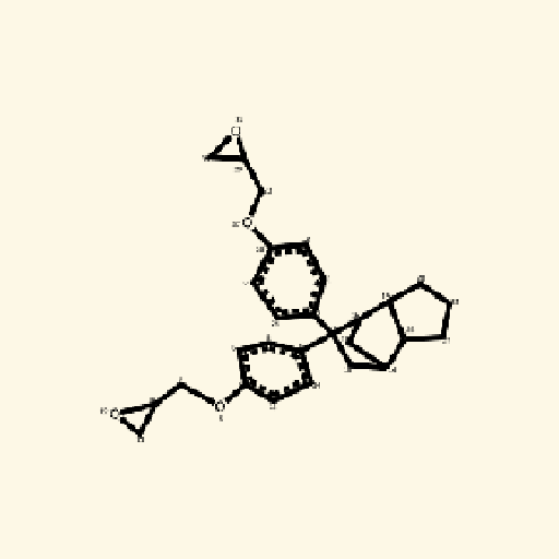 c1cc(C2(c3ccc(OCC4CO4)cc3)CC3CC2C2CCCC32)ccc1OCC1CO1